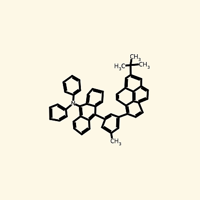 Cc1cc(-c2c3ccccc3c(N(c3ccccc3)c3ccccc3)c3ccccc23)cc(-c2ccc3ccc4cc(C(C)(C)C)cc5ccc2c3c45)c1